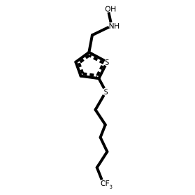 ONCc1ccc(SCCCCCC(F)(F)F)s1